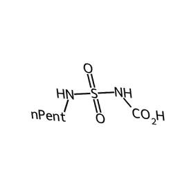 CCCCCNS(=O)(=O)NC(=O)O